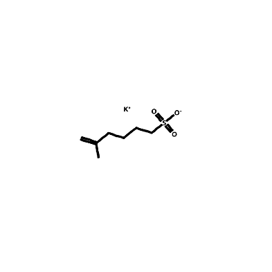 C=C(C)CCCCS(=O)(=O)[O-].[K+]